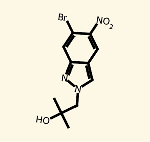 CC(C)(O)Cn1cc2cc([N+](=O)[O-])c(Br)cc2n1